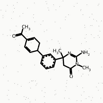 CC(=O)C1=CCC(c2cccc(C3(C)CC(=O)N(C)C(N)=N3)c2)C=C1